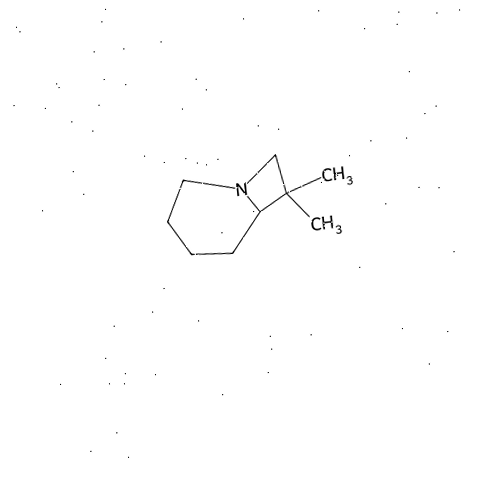 CC1(C)CN2CCCCC21